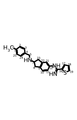 Cc1ccc(CNC2Cc3ccc(NC(=N)c4cccs4)cc3C2)cc1